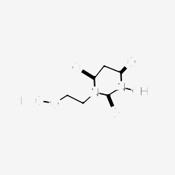 COCCN1C(=O)CC(=O)N(C)C1=O